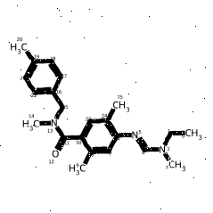 CCN(C)C=Nc1cc(C)c(C(=O)N(C)Cc2ccc(C)cc2)cc1C